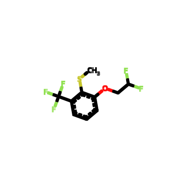 CSc1c(OCC(F)F)cccc1C(F)(F)F